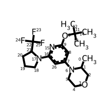 CC1COCCN1c1cc(OC(C)(C)C)nc(N2CCCC2C(F)(F)F)c1